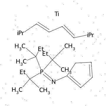 CC(C)C=CC=CC(C)C.CCC(C)(C)P(=NC1=CC=CC1)(C(C)(C)CC)C(C)(C)CC.[Ti]